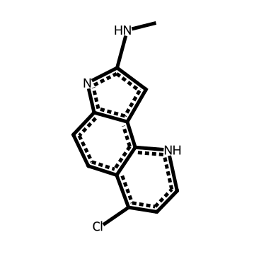 CNc1cc2c(ccc3c(Cl)cc[nH]c32)n1